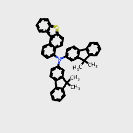 CC1(C)c2ccccc2-c2ccc(N(c3ccc4c(c3)C(C)(C)c3ccccc3-4)c3cccc4c3ccc3sc5ccccc5c34)cc21